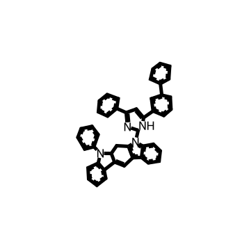 C1=C(c2cccc(-c3ccccc3)c2)NC(n2c3c(c4ccccc42)C=C2c4ccccc4N(c4ccccc4)C2C3)N=C1c1ccccc1